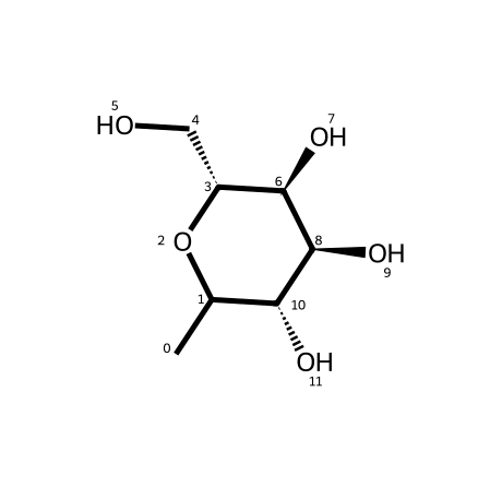 CC1O[C@H](CO)[C@@H](O)[C@@H](O)[C@@H]1O